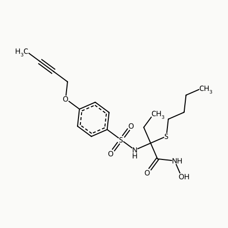 CC#CCOc1ccc(S(=O)(=O)NC(CC)(SCCCC)C(=O)NO)cc1